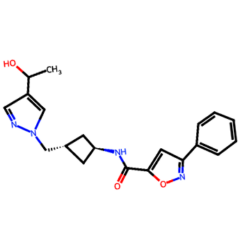 CC(O)c1cnn(C[C@H]2C[C@H](NC(=O)c3cc(-c4ccccc4)no3)C2)c1